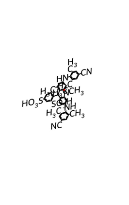 Cc1cc(Nc2c(C)cc(C#N)cc2C)ccc1C(c1ccc(Nc2c(C)cc(C#N)cc2C)cc1N(C)C)c1ccc(S(=O)(=O)O)cc1S(=O)(=O)O